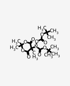 CC(C)(C)OC(=O)ON(C(=O)OC(C)(C)C)C1(C)C(=O)OC(C)(C)OC1=O